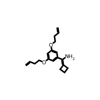 C=CCCOc1cc(OCCC=C)cc(C(N)=C2CCC2)c1